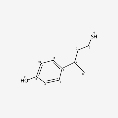 CC(CCS)c1ccc(O)cc1